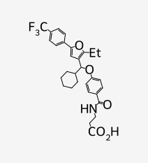 CCc1oc(-c2ccc(C(F)(F)F)cc2)cc1C(Oc1ccc(C(=O)NCCC(=O)O)cc1)C1CCCCC1